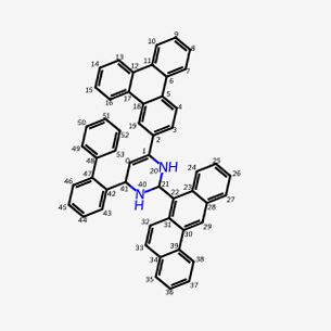 C1=C(c2ccc3c4ccccc4c4ccccc4c3c2)NC(c2c3ccccc3cc3c2ccc2ccccc23)NC1c1ccccc1-c1ccccc1